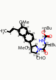 CC=Cc1cc2cc([C@]3(OC)C[C@@H](C=O)N(C(=O)[C@@H](NC(=O)OCCCC)C(C)(C)C)C3)ccc2cc1OC